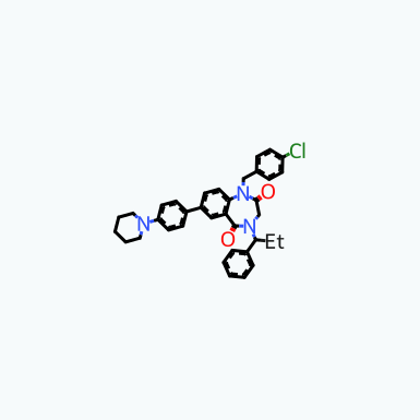 CCC(c1ccccc1)N1CC(=O)N(Cc2ccc(Cl)cc2)c2ccc(-c3ccc(N4CCCCC4)cc3)cc2C1=O